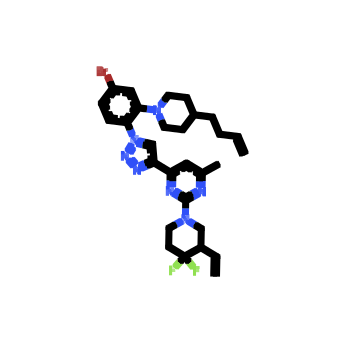 C=CCCC1CCN(c2cc(Br)ccc2-n2cc(-c3cc(C)nc(N4CCC(F)(F)C(C=C)C4)n3)nn2)CC1